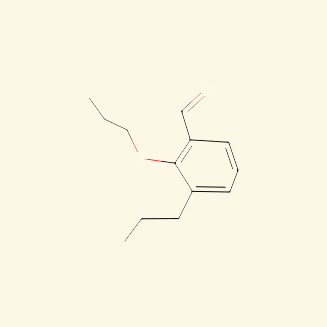 CCCOc1c(C=O)cccc1CCC